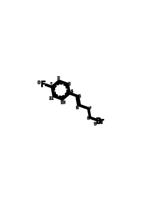 Fc1ccc(C=CCCBr)cc1